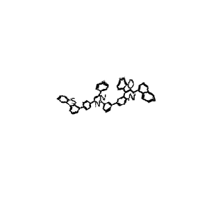 c1ccc(-c2cc(-c3ccc(-c4cccc5c4sc4ccccc45)cc3)nc(-c3cccc(-c4ccc5nc(-c6cccc7ccccc67)c6oc7ccccc7c6c5c4)c3)n2)cc1